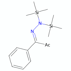 CC(=O)/C(=N\N([Si](C)(C)C)[Si](C)(C)C)c1ccccc1